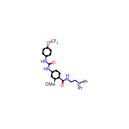 COc1cc(NC(=O)Nc2ccc(OC(F)(F)F)cc2)ccc1C(=O)NCCN(C(C)C)C(C)C